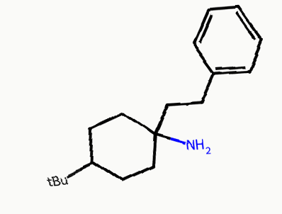 CC(C)(C)C1CCC(N)(CCc2ccccc2)CC1